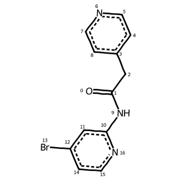 O=C(Cc1ccncc1)Nc1cc(Br)ccn1